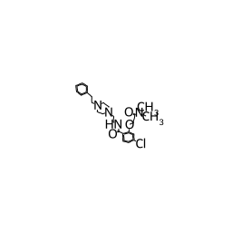 CN(C)C(=O)COc1cc(Cl)ccc1C(=O)NCCN1CCN(CCc2ccccc2)CC1